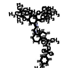 C=C1/C(=C/C=C2/CCC[C@]3(C)[C@@H]([C@H](C)COS(=O)(=O)c4ccc(C)cc4)CC[C@@H]23)C[C@@H](O[Si](C)(C)C(C)(C)C)[C@H](C)[C@@H]1O[Si](C)(C)C(C)(C)C